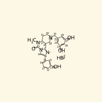 Br.CN(C(=O)n1cnc(-c2cccc(O)c2)c1)C1CCN(Cc2cc(O)cc(O)c2)CC1